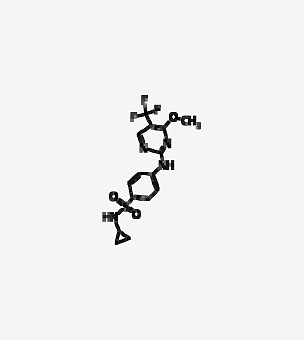 COc1nc(Nc2ccc(S(=O)(=O)NC3CC3)cc2)ncc1C(F)(F)F